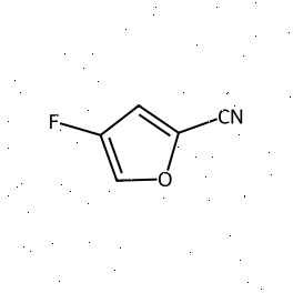 N#Cc1cc(F)co1